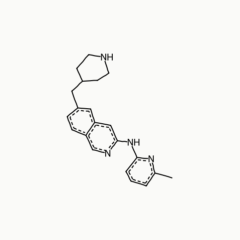 Cc1cccc(Nc2cc3cc(CC4CCNCC4)ccc3cn2)n1